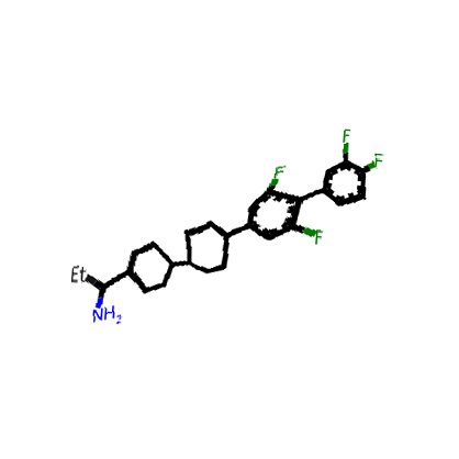 CCC(N)C1CCC(C2CCC(c3cc(F)c(-c4ccc(F)c(F)c4)c(F)c3)CC2)CC1